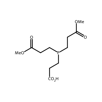 COC(=O)CCP(CCC(=O)O)CCC(=O)OC